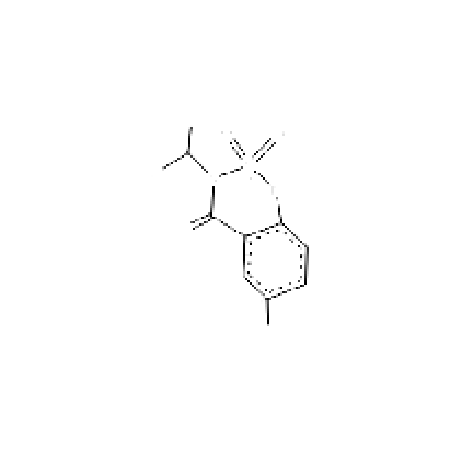 CC(C)N1C(=O)c2cc(F)ccc2NS1(=O)=O